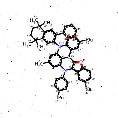 Cc1cc2c3c(c1)N(c1ccc(C(C)(C)C)cc1)c1c(oc4ccc(C(C)(C)C)cc14)B3c1cc(C(C)(C)C)ccc1N2c1cc2c(cc1-c1ccccc1)C(C)(C)CCC2(C)C